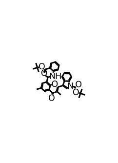 Cc1cc(C(C)Nc2ccccc2C(=O)OC(C)(C)C)c2oc(-c3cn(C(=O)OC(C)(C)C)c4ccccc34)c(C)c(=O)c2c1